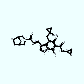 CC1(Cn2c(=O)c(C(=O)NC3CC3)c(O)n3ncc(/C=C/C(=O)N4CC5CCC(C4)O5)c23)CC1